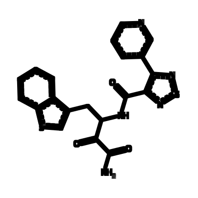 NC(=O)C(=O)C(Cc1csc2ccccc12)NC(=O)c1nsnc1-c1cccnc1